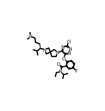 CCN(C(=O)c1cc(F)ccc1Oc1nnc(Cl)nc1N1CCC2(C1)CN([C@H](CCCN(C)C)C(C)C)C2)C(C)C